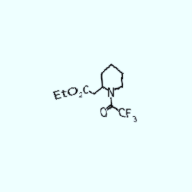 CCOC(=O)CC1CCCCN1C(=O)C(F)(F)F